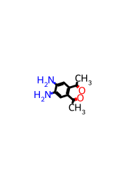 CC(=O)c1cc(N)c(N)cc1C(C)=O